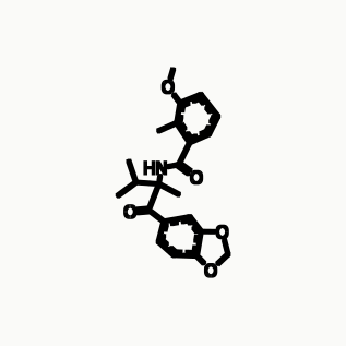 COc1cccc(C(=O)NC(C)(C(=O)c2ccc3c(c2)OCO3)C(C)C)c1C